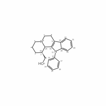 OC[C@H]1CCCN2CCc3c(n(-c4ccccc4)c4ccccc34)C12